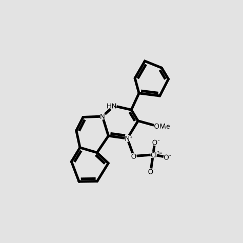 COC1=C(c2ccccc2)NN2C=Cc3ccccc3C2=[N+]1O[Cl+3]([O-])([O-])[O-]